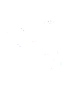 COCCn1c(C)c(C)sc1=NC(=O)c1cccc2c1OC(F)(F)O2